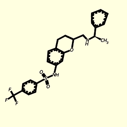 C[C@@H](NCC1CCc2ccc(NS(=O)(=O)c3ccc(C(F)(F)F)cc3)cc2O1)c1ccccc1